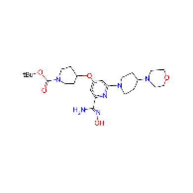 CC(C)(C)OC(=O)N1CCC(Oc2cc(/C(N)=N/O)nc(N3CCC(N4CCOCC4)CC3)c2)CC1